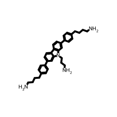 NCCCCc1ccc(-c2ccc3c4ccc(-c5ccc(CCCCN)cc5)cc4n(CCCN)c3c2)cc1